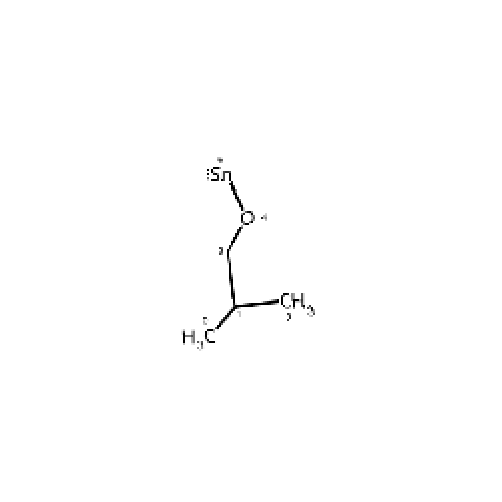 CC(C)C[O][Sn]